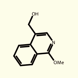 COc1ncc(CO)c2ccccc12